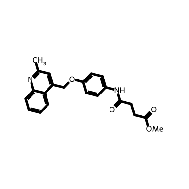 COC(=O)CCC(=O)Nc1ccc(OCc2cc(C)nc3ccccc23)cc1